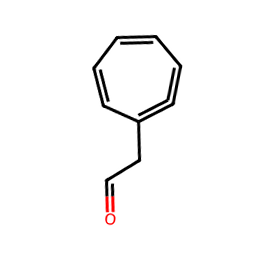 O=CCC1=C=CC=CC=C1